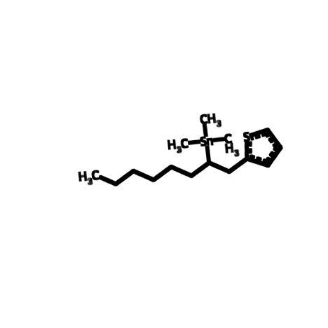 CCCCCC[CH](Cc1cccs1)[Sn]([CH3])([CH3])[CH3]